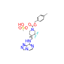 CS(=O)(=O)O.Cc1ccc(COC(=O)N2CC[C@H](CNc3nccn4cnnc34)C(F)(F)C2)cc1